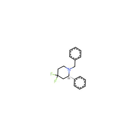 FC1(F)CCN(Cc2ccccc2)[C@H](c2ccccc2)C1